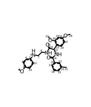 COc1ccc(NCCNC(=O)C(NC(=O)c2cccc(C)c2)c2ccc(OC)cc2OC)cc1